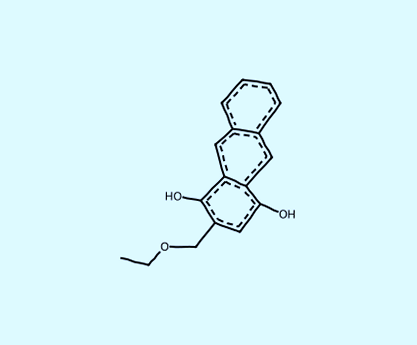 CCOCc1cc(O)c2cc3ccccc3cc2c1O